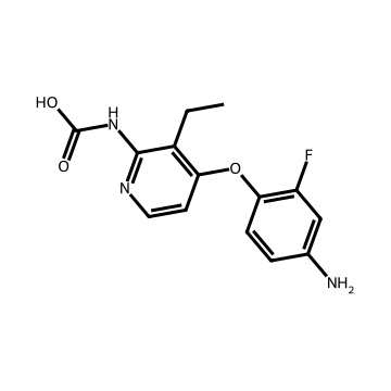 CCc1c(Oc2ccc(N)cc2F)ccnc1NC(=O)O